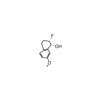 COc1ccc2c(c1)[C@@H](O)[C@@H](F)CC2